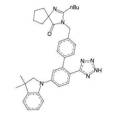 CCCCC1=NC2(CCCC2)C(=O)N1Cc1ccc(-c2cc(N3CC(C)(C)c4ccccc43)ccc2-c2nn[nH]n2)cc1